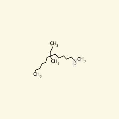 CCCCCCC(C)(CCC)CCCCCNC